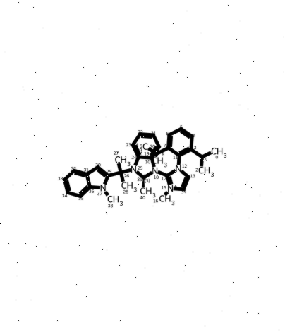 CC(C)c1cccc(C(C)C)c1-n1cc[n+](C)c1N1c2ccccc2N(C(C)(C)c2cc3ccccc3n2C)[C@@H]1C